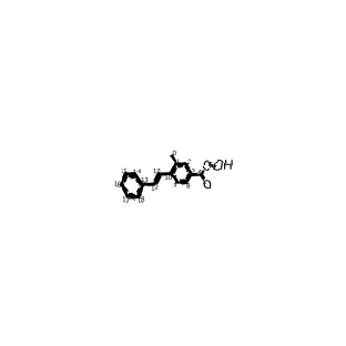 Cc1cc(C(=O)OO)ccc1C=Cc1ccccc1